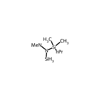 CCC[Si](C)(C)N([SiH3])NC